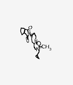 C[C@@H]1ON2CC[C@H](N3C(=O)C4=C(CCCC4)C3=O)CC2C=CN1CC1CC1